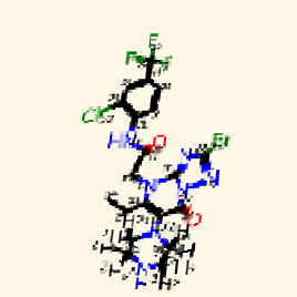 [2H]C1([2H])NC([2H])([2H])C([2H])([2H])N(c2c(CC)n(CC(=O)Nc3ccc(C(F)(F)F)cc3Cl)c3nc(Br)nn3c2=O)C1([2H])[2H]